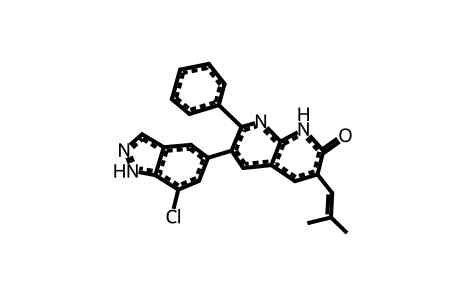 CC(C)=Cc1cc2cc(-c3cc(Cl)c4[nH]ncc4c3)c(-c3ccccc3)nc2[nH]c1=O